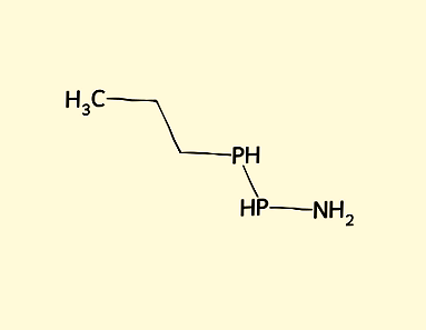 CCCPPN